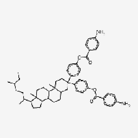 CCC(C)CCC(C)C1CCC2C3CCC4CC(c5ccc(OC(=O)c6ccc(N)cc6)cc5)(c5ccc(OC(=O)c6ccc(N)cc6)cc5)CCC4(C)C3CCC12C